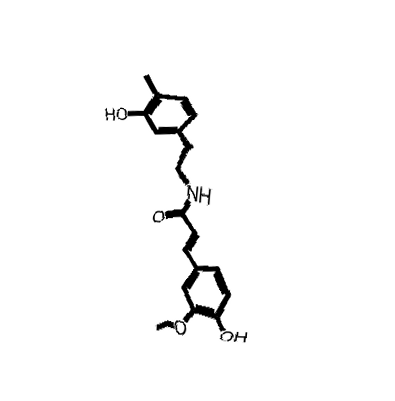 COc1cc(/C=C/C(=O)NCCc2ccc(C)c(O)c2)ccc1O